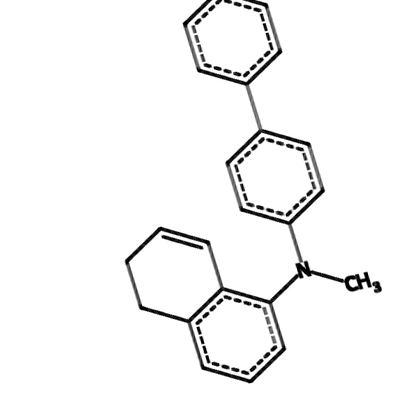 CN(c1ccc(-c2ccccc2)cc1)c1cccc2c1C=CCC2